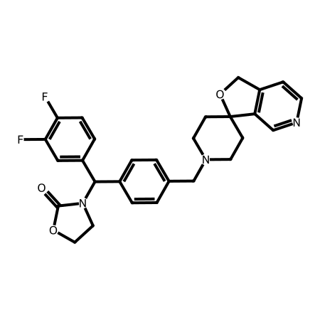 O=C1OCCN1C(c1ccc(CN2CCC3(CC2)OCc2ccncc23)cc1)c1ccc(F)c(F)c1